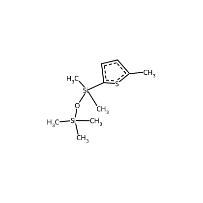 Cc1ccc([Si](C)(C)O[Si](C)(C)C)s1